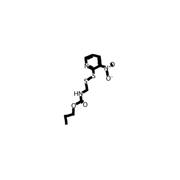 CCCOC(=O)NCSSc1ncccc1[N+](=O)[O-]